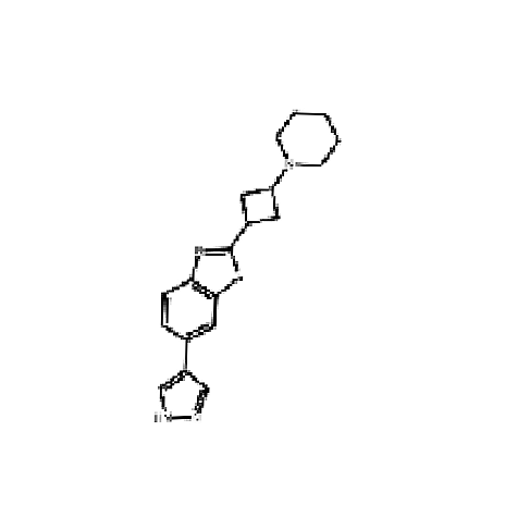 c1cc2nc(C3CC(N4CCCCC4)C3)sc2cc1-c1cn[nH]c1